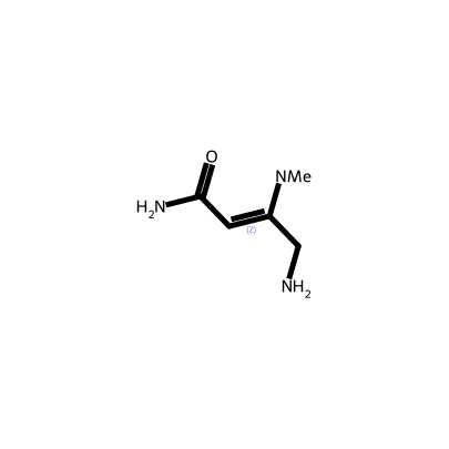 CN/C(=C\C(N)=O)CN